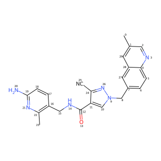 Cc1cnc2ccc(Cn3cc(C(=O)NCc4ccc(N)nc4C)c(C#N)n3)cc2c1